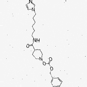 O=C(OCc1ccccc1)ON1CCC(C(=O)NCCCCCCn2ccnc2)CC1